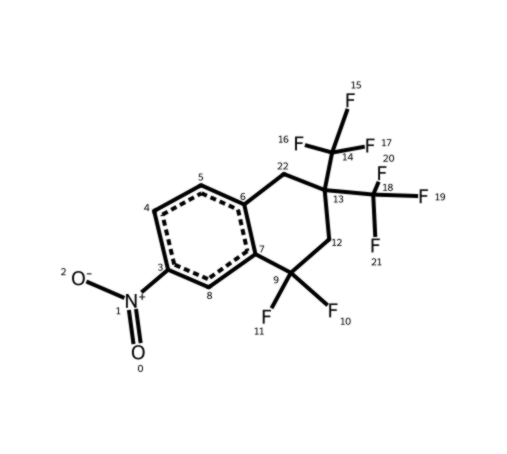 O=[N+]([O-])c1ccc2c(c1)C(F)(F)CC(C(F)(F)F)(C(F)(F)F)C2